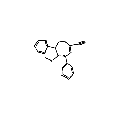 COC1=C(c2ccccc2)C=C(C#N)CCC1c1ccccc1